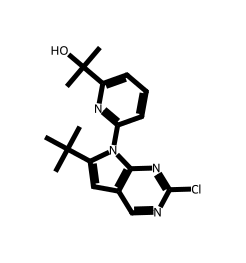 CC(C)(C)c1cc2cnc(Cl)nc2n1-c1cccc(C(C)(C)O)n1